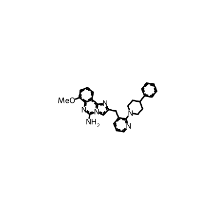 COc1cccc2c1nc(N)n1cc(Cc3cccnc3N3CCC(c4ccccc4)CC3)nc21